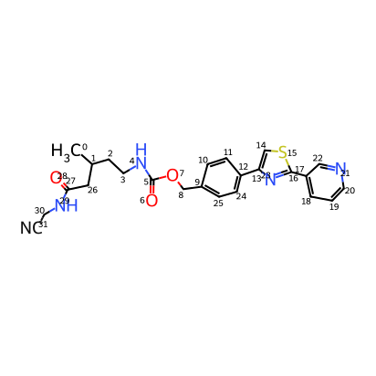 CC(CCNC(=O)OCc1ccc(-c2csc(-c3cccnc3)n2)cc1)CC(=O)NCC#N